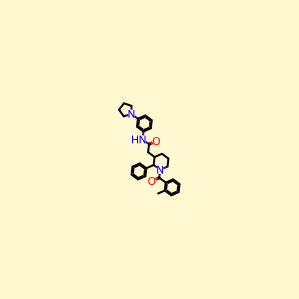 Cc1ccccc1C(=O)N1CCCC(CC(=O)Nc2cccc(N3CCCC3)c2)C1c1ccccc1